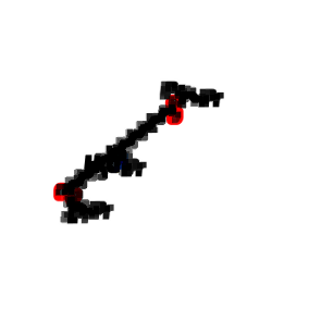 CC(C)CCC(COC(=O)CCCCCCCCCC(CCCCCCCCCC(=O)OCC(CCC(C)C)C(C)C)CN(C)C(C)C)C(C)C